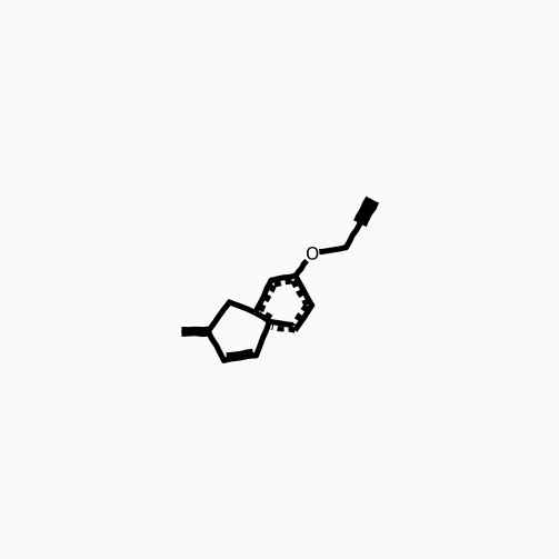 C#CCOc1ccc2c(c1)CC(=C)C=C2